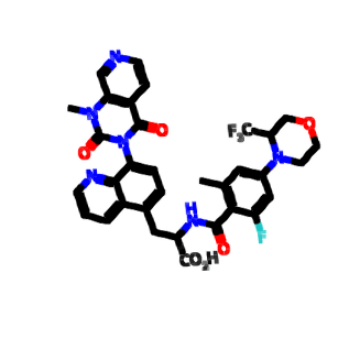 Cc1cc(N2CCOCC2C(F)(F)F)cc(F)c1C(=O)NC(Cc1ccc(-n2c(=O)c3ccncc3n(C)c2=O)c2ncccc12)C(=O)O